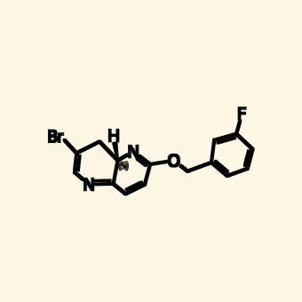 Fc1cccc(COC2=N[C@H]3CC(Br)=CN=C3C=C2)c1